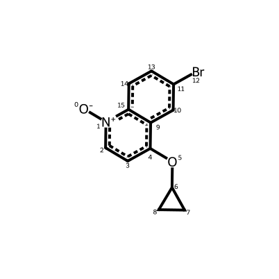 [O-][n+]1ccc(OC2CC2)c2cc(Br)ccc21